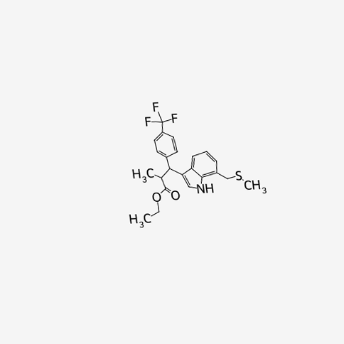 CCOC(=O)C(C)C(c1ccc(C(F)(F)F)cc1)c1c[nH]c2c(CSC)cccc12